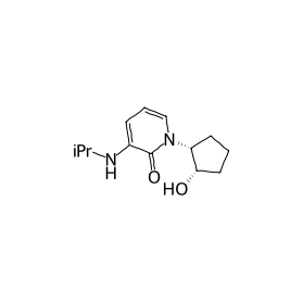 CC(C)Nc1cccn([C@@H]2CCC[C@@H]2O)c1=O